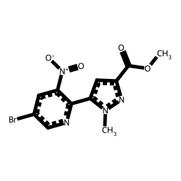 COC(=O)c1cc(-c2ncc(Br)cc2[N+](=O)[O-])n(C)n1